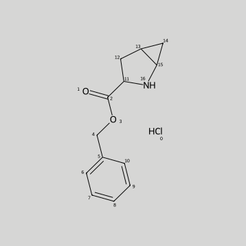 Cl.O=C(OCc1ccccc1)C1CC2CC2N1